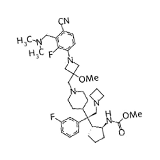 COC(=O)N[C@H]1CCC[C@@H]1[C@](CN1CCC1)(c1cccc(F)c1)C1CCN(CC2(OC)CN(c3ccc(C#N)c(CN(C)C)c3F)C2)CC1